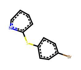 Brc1ccc(Sc2ccccn2)cc1